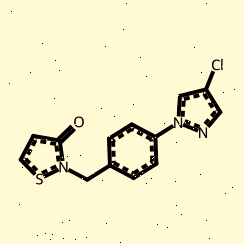 O=c1ccsn1Cc1ccc(-n2cc(Cl)cn2)cc1